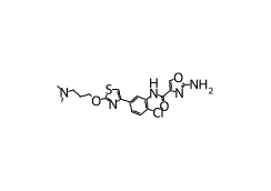 CN(C)CCCOc1nc(-c2ccc(Cl)c(NC(=O)c3coc(N)n3)c2)cs1